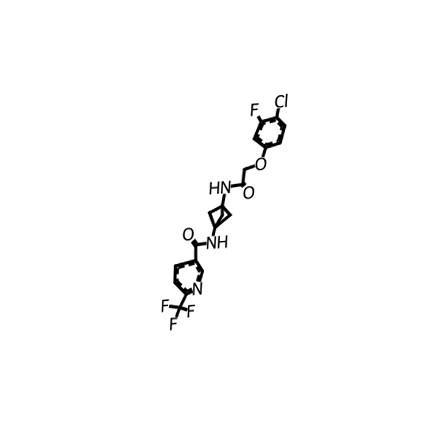 O=C(COc1ccc(Cl)c(F)c1)NC12CC(NC(=O)c3ccc(C(F)(F)F)nc3)(C1)C2